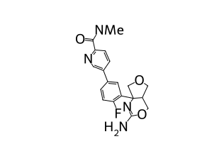 CNC(=O)c1ccc(-c2ccc(F)c(C34COCC3COC(N)=N4)c2)cn1